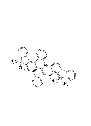 CC1(C)c2ccccc2-c2ccc(N(c3ccccc3-c3cccc4c3-c3ccccc3C4(C)C)c3ccc4ccccc4c3-c3ccccc3)cc21